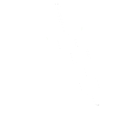 CC1CCC(c2ccc3c(F)c(C#CC(F)(F)F)c(F)cc3c2)CC1